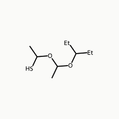 CCC(CC)OC(C)OC(C)S